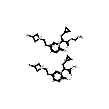 CCOC(=O)C(CC1CC1)n1cc(CCN2CC(F)C2)ccc1=O.O=C(O)C(CC1CC1)n1cc(CCN2CC(F)C2)ccc1=O